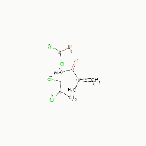 C=C(C)C(=O)OC.CC(Cl)CCl.ClC(Cl)Br